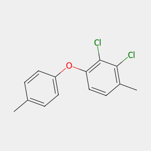 Cc1ccc(Oc2ccc(C)c(Cl)c2Cl)cc1